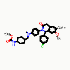 CCC(C)Oc1cc2c(cc1OC)CC(=O)N(c1ccc(N(C)CC3CCC(NC(=O)OC(C)(C)C)CC3)cc1)C2c1ccc(Cl)cc1